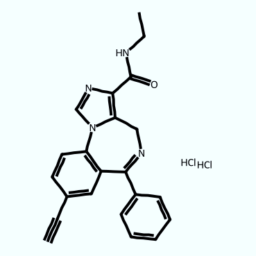 C#Cc1ccc2c(c1)C(c1ccccc1)=NCc1c(C(=O)NCC)ncn1-2.Cl.Cl